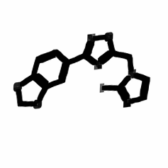 Ic1nccn1Cc1nc(-c2ccc3c(c2)OCO3)no1